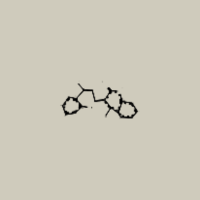 CC(CCc1c(O)c2ccccc2oc1=O)c1ccccc1O